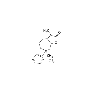 Cc1ccccc1C1(C)CCCC2C(C1)OC(=O)C2C